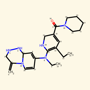 C=C1CNNC2C=C(N(CC)C3=C(CC)C=C(C(=O)N4CCCCC4)CN3)C=CN12